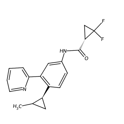 CC1C[C@@H]1c1ccc(NC(=O)[C@@H]2CC2(F)F)cc1-c1ccccn1